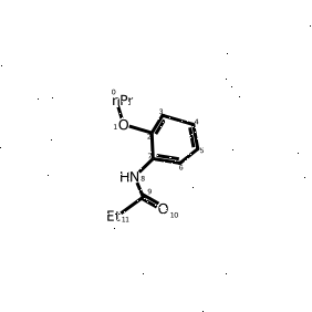 CCCOc1ccccc1NC(=O)CC